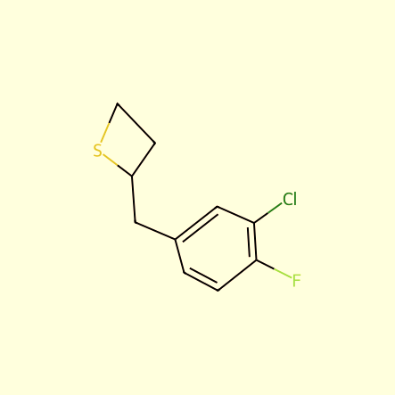 Fc1ccc(CC2CCS2)cc1Cl